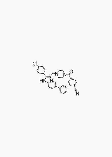 N#Cc1ccc(C(=O)N2CCN(CC3=C(c4ccc(Cl)cc4)NC4C=CC(c5ccccc5)=CN34)CC2)cc1